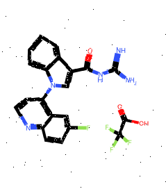 N=C(N)NC(=O)c1cn(-c2ccnc3ccc(F)cc23)c2ccccc12.O=C(O)C(F)(F)F